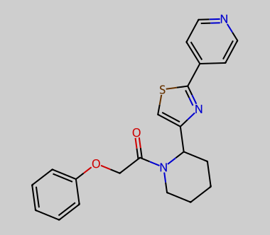 O=C(COc1ccccc1)N1CCCCC1c1csc(-c2ccncc2)n1